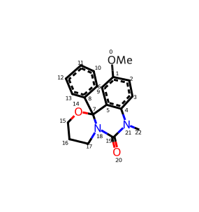 COc1ccc2c(c1)C1(c3ccccc3)OCCCN1C(=O)N2C